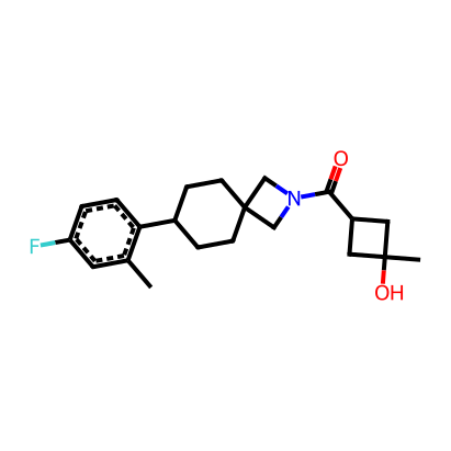 Cc1cc(F)ccc1C1CCC2(CC1)CN(C(=O)C1CC(C)(O)C1)C2